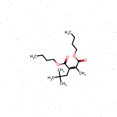 CCCCOC(=O)C(C)=C(CC(C)(C)C)C(=O)OCCCC